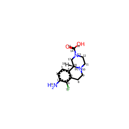 Nc1ccc2c(c1F)CCN1CCN(C(=O)O)C[C@@H]21